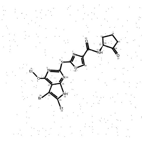 CCOc1nc(Sc2nc(C(=O)N[C@H]3CCCC3=O)co2)nc2[nH]c(CC)c(Br)c12